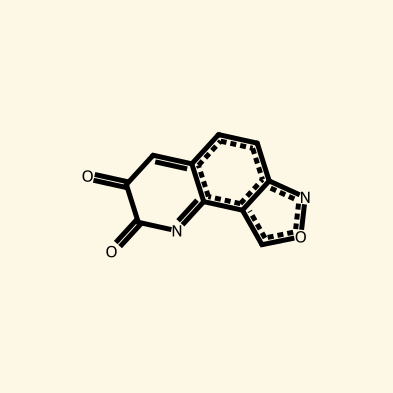 O=C1C=c2ccc3nocc3c2=NC1=O